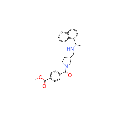 COC(=O)c1ccc(C(=O)N2CCC(CNC(C)c3cccc4ccccc34)C2)cc1